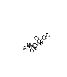 CC(C)[C@H](N)C(=O)N1CCN(c2nnc(-c3ccc(Cl)cc3)c3ccccc23)C[C@H]1C